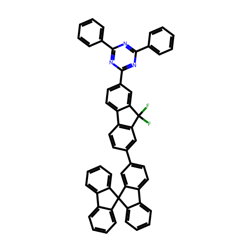 FC1(F)c2cc(-c3ccc4c(c3)C3(c5ccccc5-c5ccccc53)c3ccccc3-4)ccc2-c2ccc(-c3nc(-c4ccccc4)nc(-c4ccccc4)n3)cc21